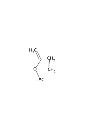 C=C.C=COC(C)=O